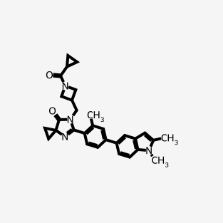 Cc1cc(-c2ccc3c(c2)cc(C)n3C)ccc1C1=NC2(CC2)C(=O)N1CC1CN(C(=O)C2CC2)C1